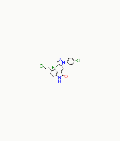 O=C1Nc2ccc(CCCl)cc2C1=Cc1c(Br)cnn1-c1ccc(Cl)cc1